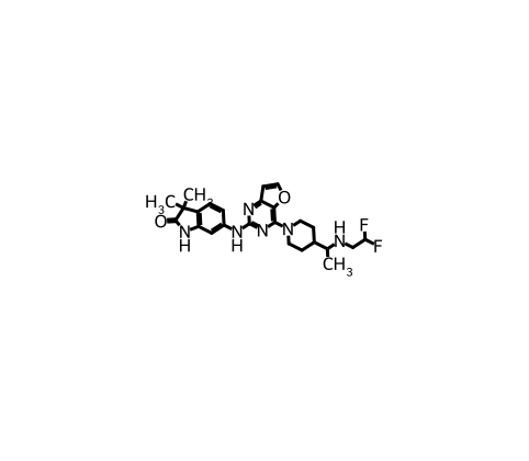 CC(NCC(F)F)C1CCN(c2nc(Nc3ccc4c(c3)NC(=O)C4(C)C)nc3ccoc23)CC1